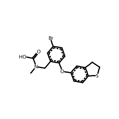 CN(Cc1cc(Br)ccc1Oc1ccc2c(c1)CCS2)C(=O)O